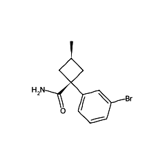 C[C@H]1C[C@](C(N)=O)(c2cccc(Br)c2)C1